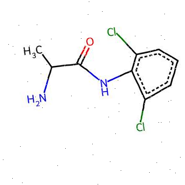 CC(N)C(=O)Nc1c(Cl)cccc1Cl